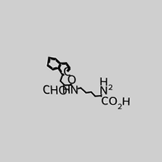 NC(CCCCNC(=O)C([C]=O)Cc1cccc2ccccc12)C(=O)O